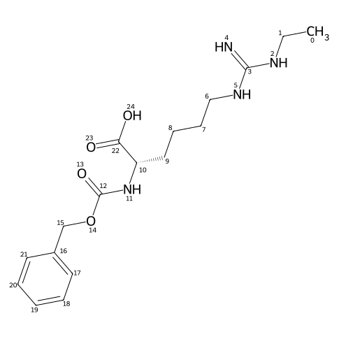 CCNC(=N)NCCCC[C@H](NC(=O)OCc1ccccc1)C(=O)O